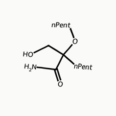 CCCCCOC(CO)(CCCCC)C(N)=O